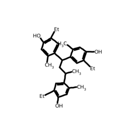 CCc1cc(C(C)CC(c2cc(CC)c(O)cc2C)c2cc(CC)c(O)cc2C)c(C)cc1O